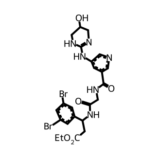 CCOC(=O)CC(NC(=O)CNC(=O)c1cncc(NC2=NCC(O)CN2)c1)c1cc(Br)cc(Br)c1